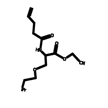 C=CCCC(=O)NC(COCCC(C)C)C(=O)OCC#N